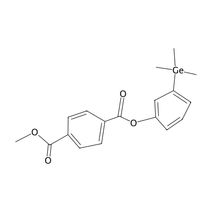 COC(=O)c1ccc(C(=O)Oc2ccc[c]([Ge]([CH3])([CH3])[CH3])c2)cc1